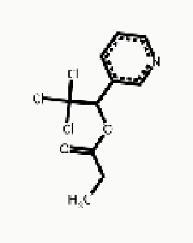 CCC(=O)OC(c1cccnc1)C(Cl)(Cl)Cl